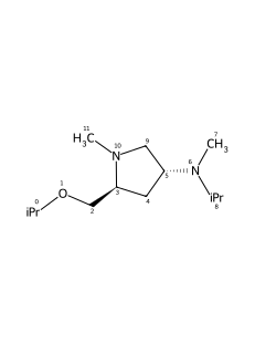 CC(C)OC[C@@H]1C[C@@H](N(C)C(C)C)CN1C